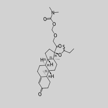 CCC(=S)O[C@]1(C(=O)COCOC(=O)N(C)C)CC[C@H]2[C@@H]3CCC4=CC(=O)CC[C@]4(C)[C@H]3CC[C@@]21C